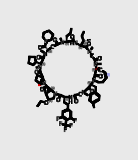 CCC[C@H]1C(=O)N[C@@H]([C@@H](C)CC)C(=O)N(C)CC(=O)N(C)[C@H]2C/C=C\CCN(C2=O)[C@@H](Cc2ccc(C)cc2)C(=O)N(C)CC(=O)N[C@@H](CCc2cc(F)c(C(F)(F)F)c(F)c2)C(=O)N2C[C@H](OCC)C[C@H]2C(=O)N(C)C2(CCC2)C(=O)N(C)[C@@H](C2CCCC2)C(=O)N(C)[C@H](C(=O)N2CCCCC2)CC(=O)N1C